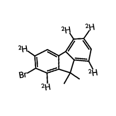 [2H]c1cc([2H])c2c(c1[2H])-c1cc([2H])c(Br)c([2H])c1C2(C)C